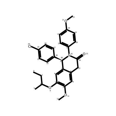 CCC(C)Oc1cc2c(cc1OC)CC(=O)N(c1ccc(OC)cc1)[C@@H]2c1ccc(Cl)cc1